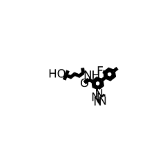 Cc1ccc(-c2cc(C(=O)NC(C)CCCC(C)(C)O)cc(-n3cnnn3)c2)c(F)c1